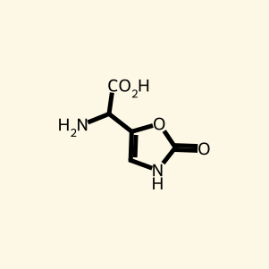 NC(C(=O)O)c1c[nH]c(=O)o1